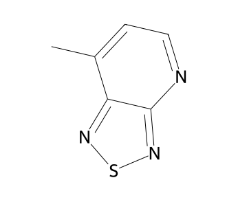 Cc1ccnc2nsnc12